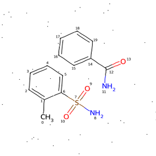 Cc1ccccc1S(N)(=O)=O.NC(=O)c1ccccc1